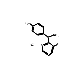 Cl.NC(c1ccc(C(F)(F)F)cc1)c1ncccc1F